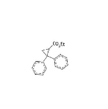 CCOC(=O)C1CC1(c1ccccc1)c1ccccc1